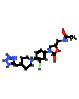 CC(=O)NCC1CN(c2ccc(N3CCC(Cc4nnn[nH]4)CC3)c(F)c2)C(=O)O1